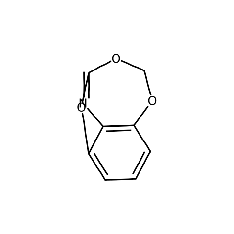 c1cc2c3nc(oc3c1)OCO2